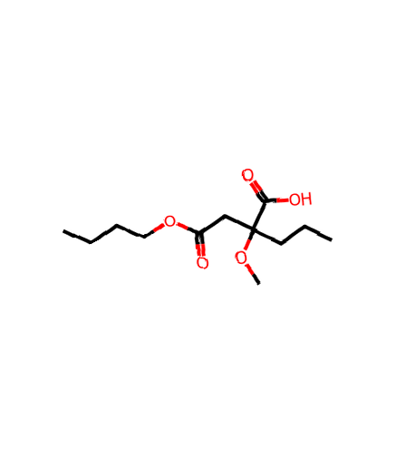 CCCCOC(=O)CC(CCC)(OC)C(=O)O